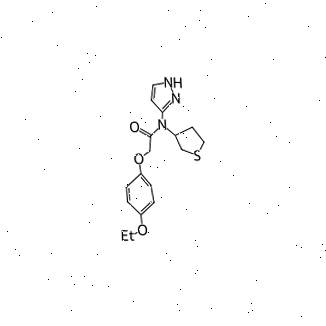 CCOc1ccc(OCC(=O)N(c2cc[nH]n2)C2CCSC2)cc1